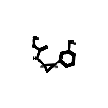 CC(C)(C)OC(=O)N[C@@H]1C[C@H]1c1cccc([N+](=O)[O-])c1